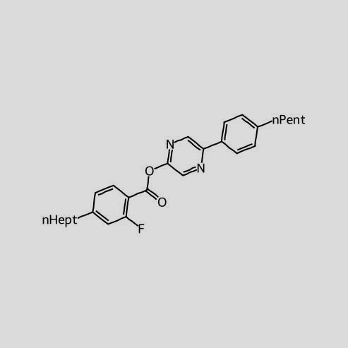 CCCCCCCc1ccc(C(=O)Oc2cnc(-c3ccc(CCCCC)cc3)cn2)c(F)c1